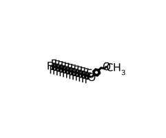 COCCc1ccc(OC(F)(F)C(F)(F)C(F)(F)C(F)(F)C(F)(F)C(F)(F)C(F)(F)C(F)(F)C(F)(F)C(F)(F)C(F)(F)C(F)(F)F)cc1